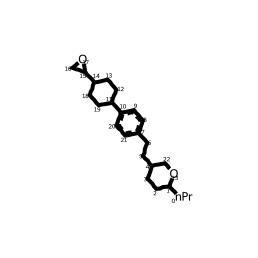 CCCC1CCC(CCc2ccc(C3CCC(C4CO4)CC3)cc2)CO1